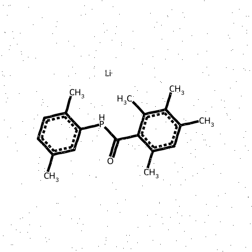 Cc1ccc(C)c(PC(=O)c2c(C)cc(C)c(C)c2C)c1.[Li]